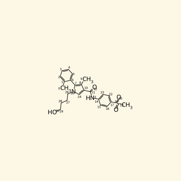 Cc1ccccc1-c1c(C)c(C(=O)Nc2ccc(S(C)(=O)=O)cc2)cn1CCCCO